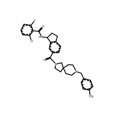 N#Cc1ccc(CN2CCC3(CC2)CCN(C(=O)c2ccc4c(c2)C(NC(=O)c2c(F)cccc2Cl)CC4)C3)cc1